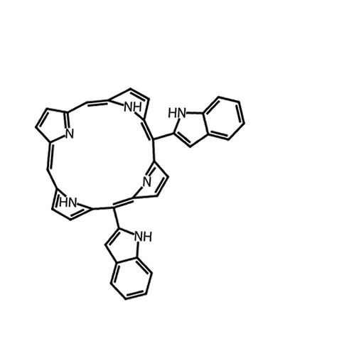 C1=Cc2cc3ccc([nH]3)c(-c3cc4ccccc4[nH]3)c3nc(c(-c4cc5ccccc5[nH]4)c4ccc(cc1n2)[nH]4)C=C3